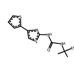 CCC(C)(C)NC(=O)Nc1nc(-c2cccs2)cs1